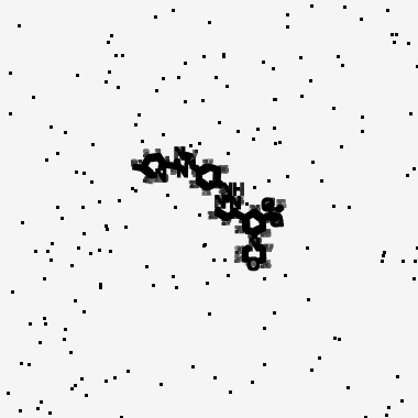 Cc1ccc(-c2ncn(-c3ccc(Nc4nccc(-c5cc(N6CCOCC6)cc(S(C)(=O)=O)c5)n4)cc3)n2)nc1